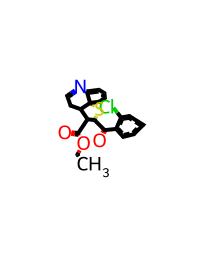 CCOC(=O)C1C(C(=O)c2ccccc2Cl)SC23CC=CC=C2N=CCC13